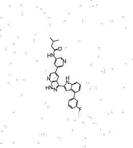 CC(C)CC(=O)Nc1cncc(-c2cnc3[nH]nc(-c4cc5c(-c6cccc(F)c6)cccc5[nH]4)c3c2)c1